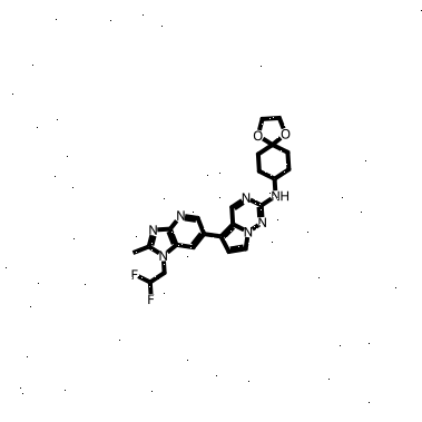 Cc1nc2ncc(-c3ccn4nc(NC5CCC6(CC5)OCCO6)ncc34)cc2n1CC(F)F